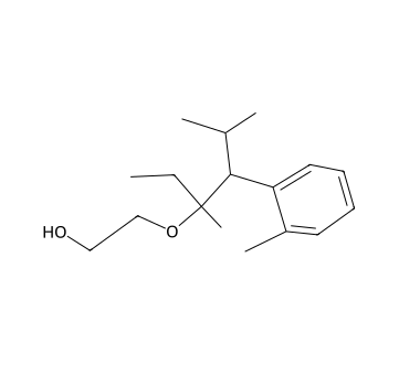 CCC(C)(OCCO)C(c1ccccc1C)C(C)C